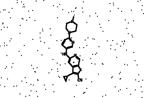 CN1CCN(c2ccc(Nc3cc4c(C5CC5)c(C#N)sc4cn3)cn2)CC1